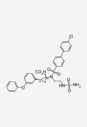 NS(=O)(=O)NCCN([C@]1(C(=O)O)C[C@H]1c1cccc(Oc2ccccc2)c1)S(=O)(=O)c1ccc(-c2ccc(Cl)cc2)cc1